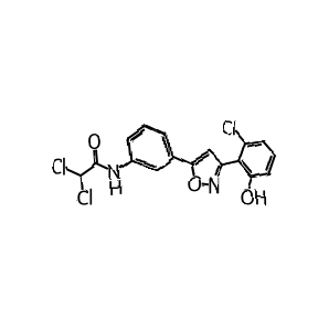 O=C(Nc1cccc(-c2cc(-c3c(O)cccc3Cl)no2)c1)C(Cl)Cl